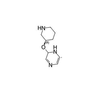 [C]1=CN=CC(O[C@@H]2CCCNC2)N1